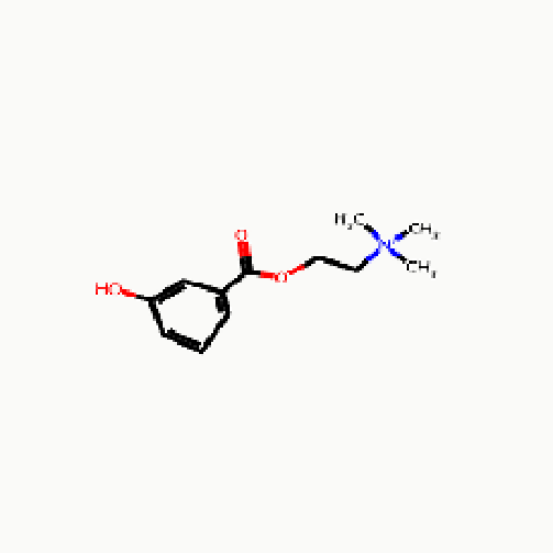 C[N+](C)(C)CCOC(=O)c1cccc(O)c1